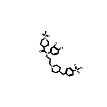 CC(C)S(=O)(=O)c1ccc(CC2CCN(CCCN(C(=O)C3CCN(S(C)(=O)=O)CC3)c3ccc(Cl)c(Cl)c3)CC2)cc1